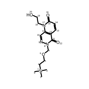 C[Si](C)(C)CCOCn1ncc2c(ccc(=O)n2CCO)c1=O